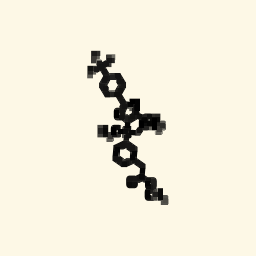 CCS(C)(c1cccc(CC(=O)OC)c1)c1oc(-c2ccc(C(F)(F)F)cc2)nc1C